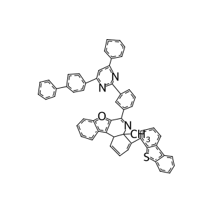 CC12N=C(c3cccc(-c4nc(-c5ccccc5)cc(-c5ccc(-c6ccccc6)cc5)n4)c3)c3oc4ccccc4c3C1C=CC=C2c1cccc2c1sc1ccccc12